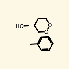 C1CCOOC1.CO.Cc1ccccc1